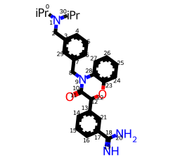 CC(C)N(Cc1cccc(CN2C(=O)C(c3cccc(C(=N)N)c3)Oc3ccccc32)c1)C(C)C